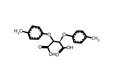 Cc1ccc(OC(C(=O)O)[C@@H](Oc2ccc(C)cc2)C(=O)O)cc1